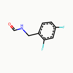 O=CNCc1ccc(F)cc1F